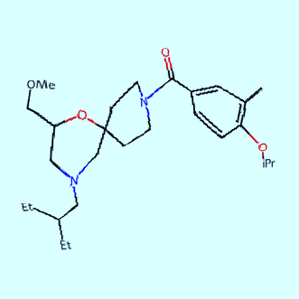 CCC(CC)CN1CC(COC)OC2(CCN(C(=O)c3ccc(OC(C)C)c(C)c3)CC2)C1